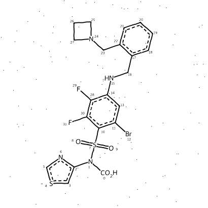 O=C(O)N(c1cscn1)S(=O)(=O)c1c(Br)cc(NCc2ccccc2CN2CCC2)c(F)c1F